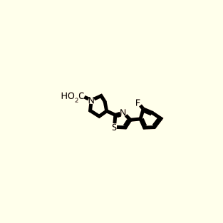 O=C(O)N1CCC(c2nc(-c3ccccc3F)cs2)CC1